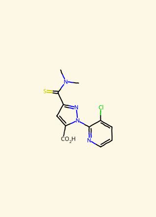 CN(C)C(=S)c1cc(C(=O)O)n(-c2ncccc2Cl)n1